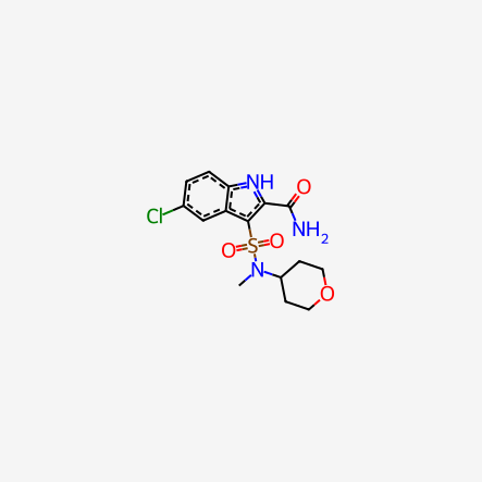 CN(C1CCOCC1)S(=O)(=O)c1c(C(N)=O)[nH]c2ccc(Cl)cc12